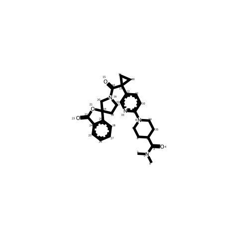 CN(C)C(=O)C1CCN(c2ccc(C3(C(=O)N4CCC5(C4)OC(=O)c4ccccc45)CC3)cn2)CC1